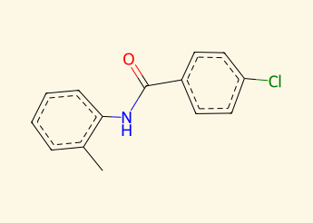 Cc1ccccc1NC(=O)c1ccc(Cl)cc1